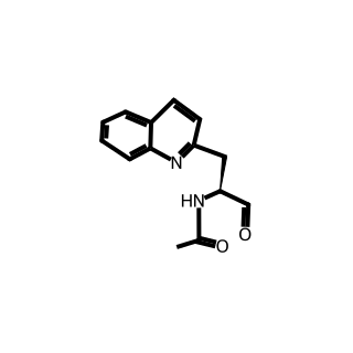 CC(=O)N[C@H](C=O)Cc1ccc2ccccc2n1